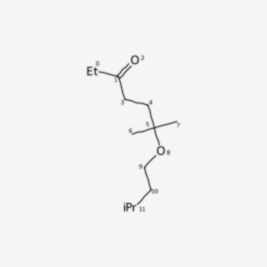 CCC(=O)CCC(C)(C)OCCC(C)C